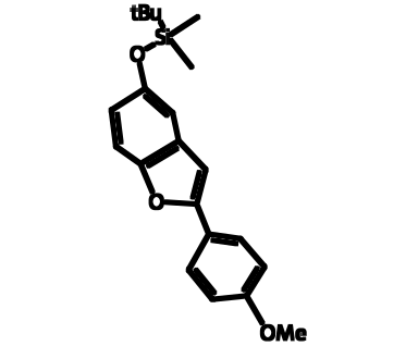 COc1ccc(-c2cc3cc(O[Si](C)(C)C(C)(C)C)ccc3o2)cc1